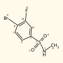 CNS(=O)(=O)c1ccc(Br)c(F)c1